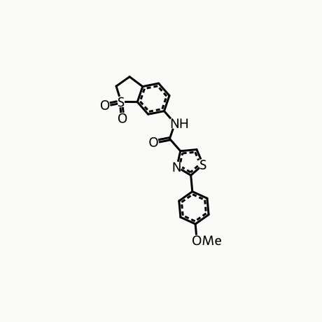 COc1ccc(-c2nc(C(=O)Nc3ccc4c(c3)S(=O)(=O)CC4)cs2)cc1